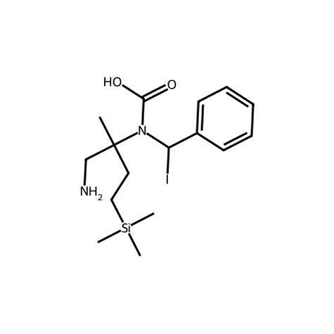 CC(CN)(CC[Si](C)(C)C)N(C(=O)O)C(I)c1ccccc1